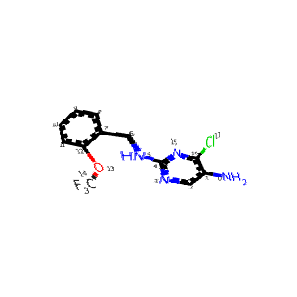 Nc1cnc(NCc2ccccc2OC(F)(F)F)nc1Cl